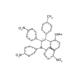 COc1ccccc1/C(=C(\B(c1ccc([N+](=O)[O-])cc1)c1ccc([N+](=O)[O-])cc1)c1ccc([N+](=O)[O-])cc1)c1ccc(C)cc1